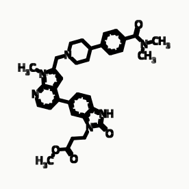 COC(=O)CCn1c(=O)[nH]c2ccc(-c3ccnc4c3cc(CN3CCC(c5ccc(C(=O)N(C)C)cc5)CC3)n4C)cc21